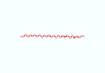 OOOOOOOOOOOOOOOOOOOOOOOOOO